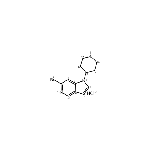 Brc1cc2c(ccn2C2CCNCC2)cn1.Cl